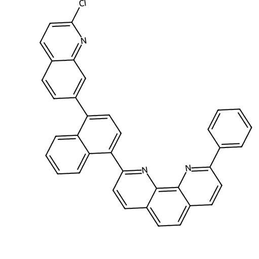 Clc1ccc2ccc(-c3ccc(-c4ccc5ccc6ccc(-c7ccccc7)nc6c5n4)c4ccccc34)cc2n1